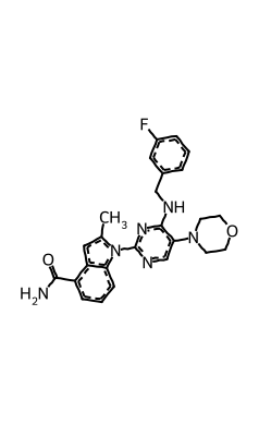 Cc1cc2c(C(N)=O)cccc2n1-c1ncc(N2CCOCC2)c(NCc2cccc(F)c2)n1